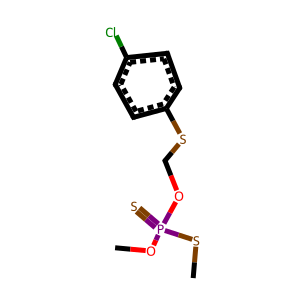 COP(=S)(OCSc1ccc(Cl)cc1)SC